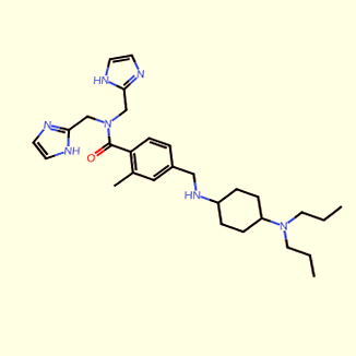 CCCN(CCC)C1CCC(NCc2ccc(C(=O)N(Cc3ncc[nH]3)Cc3ncc[nH]3)c(C)c2)CC1